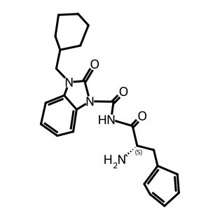 N[C@@H](Cc1ccccc1)C(=O)NC(=O)n1c(=O)n(CC2CCCCC2)c2ccccc21